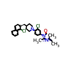 C/C=C(C)\N=C(\C)N(C=O)c1ccc(N2CCC(C[C@@H]3CC=c4ccccc4=C3Cl)CC2)c(Cl)c1